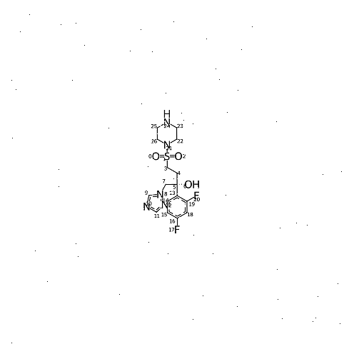 O=S(=O)(CC[C@](O)(Cn1cncn1)c1ccc(F)cc1F)N1CCNCC1